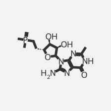 C=P(C)(C)CC[C@H]1OC(n2c(N)nc3c(=O)[nH]c(C)nc32)[C@H](O)[C@@H]1O